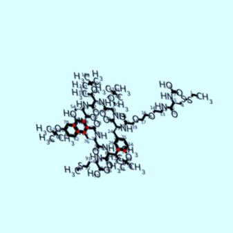 CCSSC[C@H](NC(=O)O)C(=O)NCCOCCOCC(=O)N[C@@H](Cc1ccc(OC(C)(C)C)cc1)C(=O)N[C@@H](COC(C)(C)C)C(=O)N[C@H](C(=O)N[C@@H](CO)C(=O)N[C@@H](Cc1ccc(OC(C)(C)C)cc1)C(=O)N[C@@H](Cc1ccccc1)C(=O)N[C@H](C(=O)N[C@@H](CCSC)C(=O)O)C(C)CC)C(C)OC(C)(C)C